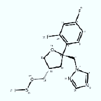 Fc1ccc([C@]2(Cn3cncn3)C[C@H](COSI)CO2)c(F)c1